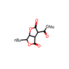 CCCCC1OC(=O)C2C(C(=O)OC)C(=O)OC12